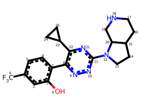 Oc1cc(C(F)(F)F)ccc1-c1nnc(N2CCC3CCNCC32)nc1C1CC1